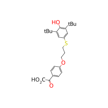 CC(C)(C)c1cc(SCCCOc2ccc(C(=O)C(=O)O)cc2)cc(C(C)(C)C)c1O